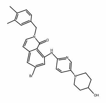 Cc1ccc(Cn2ccc3cc(Br)cc(Nc4ccc(N5CCC(O)CC5)cn4)c3c2=O)cc1C